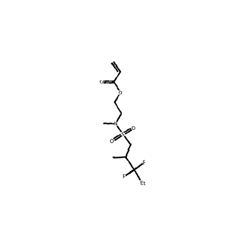 C=CC(=O)OCCN(C)S(=O)(=O)CC(C)C(F)(F)CC